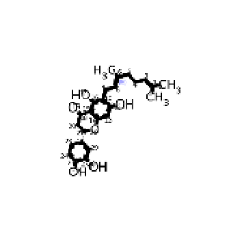 CC(C)=CCC/C(C)=C/Cc1c(O)cc2c(c1O)C(=O)C[C@@H](c1ccc(O)c(O)c1)O2